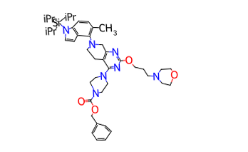 Cc1ccc2c(ccn2[Si](C(C)C)(C(C)C)C(C)C)c1N1CCc2c(nc(OCCCN3CCOCC3)nc2N2CCN(C(=O)OCc3ccccc3)CC2)C1